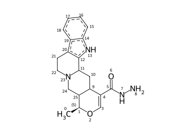 C[C@@H]1OC=C(C(=O)NN)C2CC3c4[nH]c5ccccc5c4CCN3CC21